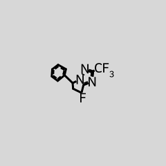 FC1CC(c2ccccc2)n2nc(C(F)(F)F)nc21